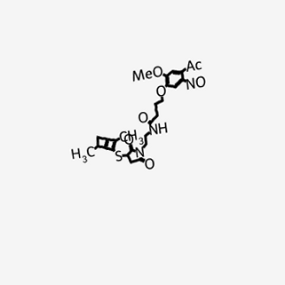 COc1cc(C(C)=O)c(N=O)cc1OCCCC(=O)NCCN1C(=O)CC(SC2=C(C)C3=C2C(C)C3)C1=O